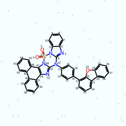 O=S1(=O)n2c(nc3ccccc32)N(c2ccc(-c3cccc4c3oc3ccccc34)cc2)c2nc3c4ccccc4c4ccccc4c3n21